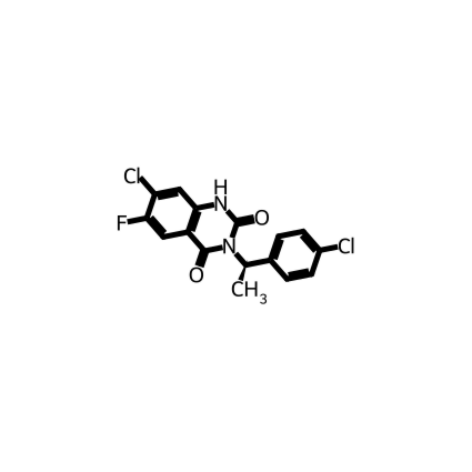 C[C@H](c1ccc(Cl)cc1)n1c(=O)[nH]c2cc(Cl)c(F)cc2c1=O